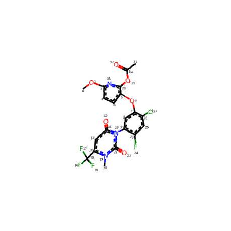 COc1ccc(Oc2cc(-n3c(=O)cc(C(F)(F)F)n(C)c3=O)c(F)cc2Cl)c(OC(C)=O)n1